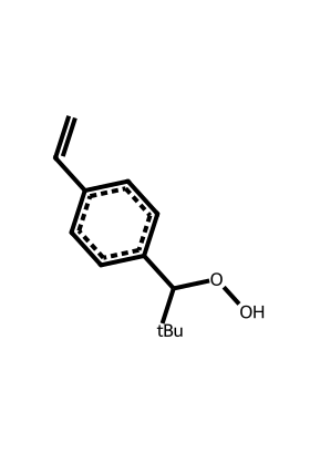 C=Cc1ccc(C(OO)C(C)(C)C)cc1